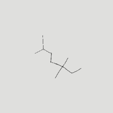 CCC(C)(C)CC[C](C)C